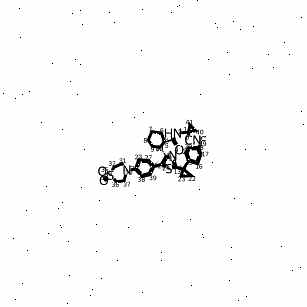 N#CC1(NC(=O)[C@@H]2CCCC[C@H]2c2nc(C3(c4ccc(F)cc4)CC3)sc2-c2ccc(N3CCS(=O)(=O)CC3)cc2)CC1